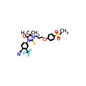 CCS(=O)(=O)c1ccc(OCCCN2C(=S)N(c3ccc(C#N)c(C(F)(F)F)c3)C(=O)C2(C)C)cc1